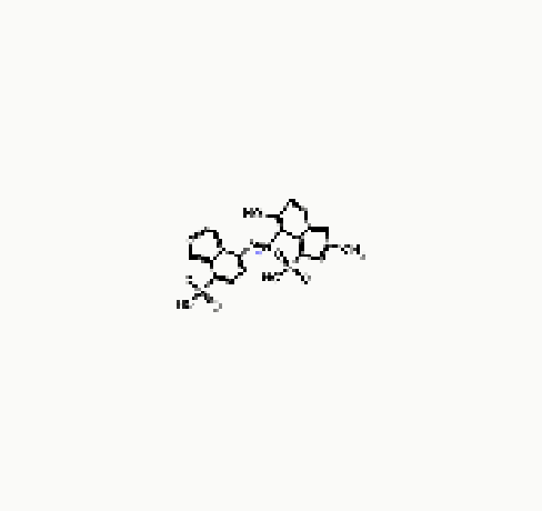 Cc1cc(S(=O)(=O)O)c2c(/N=N/c3ccc(S(=O)(=O)O)c4ccccc34)c(O)ccc2c1